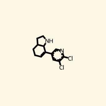 Clc1cc(C2=CCCC3CCNC23)cnc1Cl